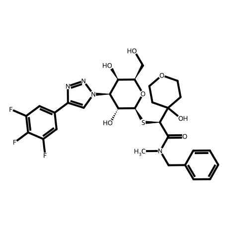 CN(Cc1ccccc1)C(=O)[C@@H](S[C@@H]1O[C@H](CO)[C@H](O)[C@H](n2cc(-c3cc(F)c(F)c(F)c3)nn2)[C@H]1O)C1(O)CCOCC1